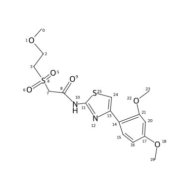 COCCS(=O)(=O)CC(=O)Nc1nc(-c2ccc(OC)cc2OC)cs1